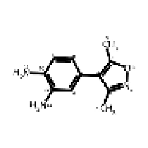 Cc1noc(C)c1-c1ccc(N)c(N)c1